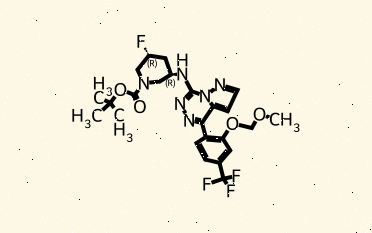 COCOc1cc(C(F)(F)F)ccc1-c1nnc(N[C@@H]2C[C@@H](F)CN(C(=O)OC(C)(C)C)C2)n2nccc12